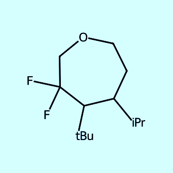 CC(C)C1CCOCC(F)(F)C1C(C)(C)C